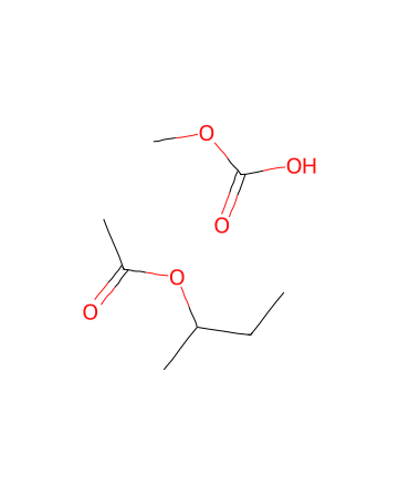 CCC(C)OC(C)=O.COC(=O)O